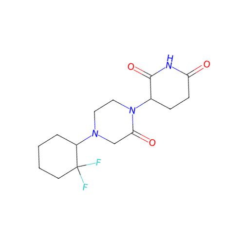 O=C1CCC(N2CCN(C3CCCCC3(F)F)CC2=O)C(=O)N1